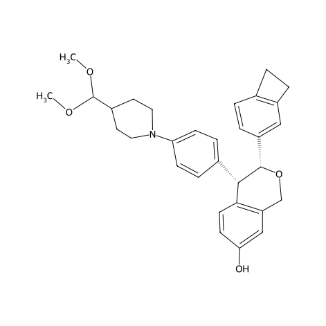 COC(OC)C1CCN(c2ccc([C@H]3c4ccc(O)cc4CO[C@H]3c3ccc4c(c3)CC4)cc2)CC1